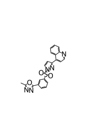 Cc1nnc(-c2cccc(S(=O)(=O)n3ccc(-c4ccnc5ccccc45)n3)c2)o1